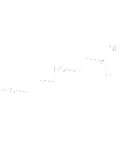 NCCCNOCC(N)=O